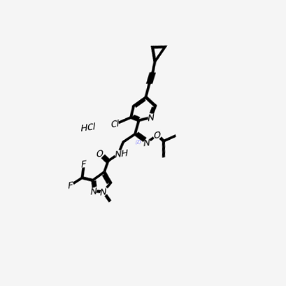 CC(C)O/N=C(/CNC(=O)c1cn(C)nc1C(F)F)c1ncc(C#CC2CC2)cc1Cl.Cl